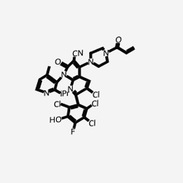 C=CC(=O)N1CCN(c2c(C#N)c(=O)n(-c3c(C)ccnc3C(C)C)c3nc(-c4c(Cl)c(O)c(F)c(Cl)c4Cl)c(Cl)cc23)CC1